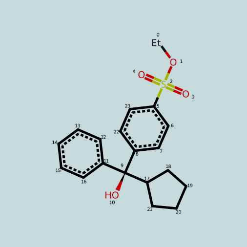 CCOS(=O)(=O)c1ccc([C@@](O)(c2ccccc2)C2CCCC2)cc1